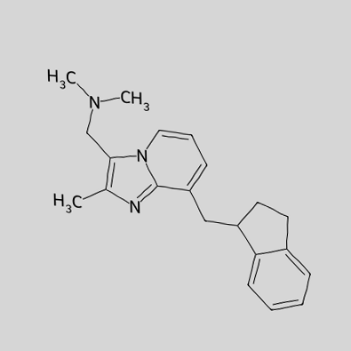 Cc1nc2c(CC3CCc4ccccc43)cccn2c1CN(C)C